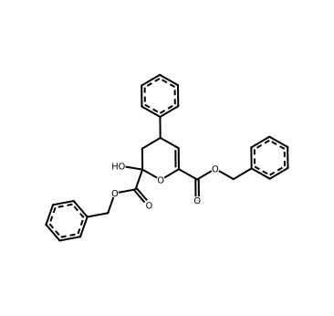 O=C(OCc1ccccc1)C1=CC(c2ccccc2)CC(O)(C(=O)OCc2ccccc2)O1